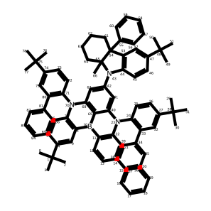 CC(C)(C)c1ccc2c(c1)B1c3ccc(-c4ccccc4)cc3N(c3ccc(C(C)(C)C)cc3-c3ccccc3)c3cc(N4c5ccc(C(C)(C)C)cc5C5(c6ccccc6)CCCCC45C)cc(c31)N2c1ccc(C(C)(C)C)cc1-c1ccccc1